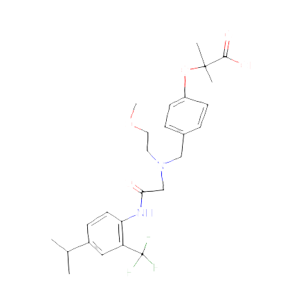 COCCN(CC(=O)Nc1ccc(C(C)C)cc1C(F)(F)F)Cc1ccc(OC(C)(C)C(=O)O)cc1